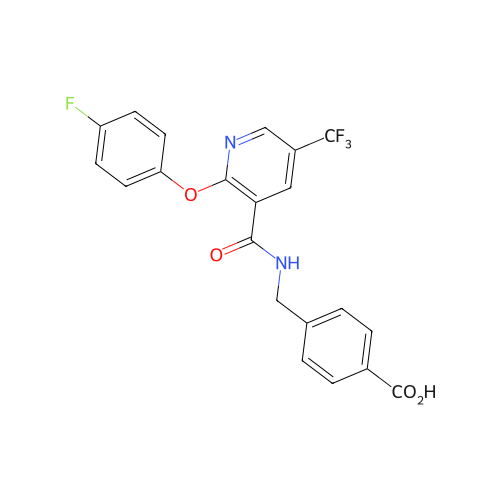 O=C(O)c1ccc(CNC(=O)c2cc(C(F)(F)F)cnc2Oc2ccc(F)cc2)cc1